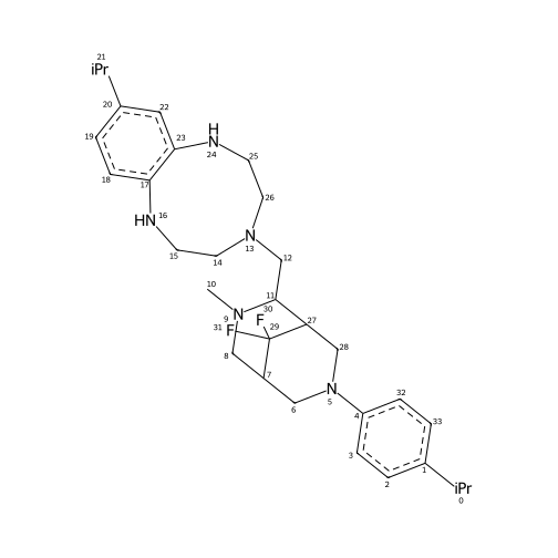 CC(C)c1ccc(N2CC3CN(C)C(CN4CCNc5ccc(C(C)C)cc5NCC4)C(C2)C3(F)F)cc1